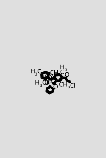 Cc1cc(C)c(C(=O)P(=O)(C(=O)c2c(C)cc(C)c(C(=O)CCCl)c2C)c2ccccc2)c(C)c1